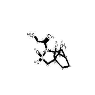 C=CC(=O)N1[C@@H]2CC3CCC2(CS1(=O)=O)C3(C)C